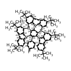 CC(C)(C)c1ccc2c(c1)c1cc(C(C)(C)C)cc3c1n2-c1c2c4c5c(c1-c1ccc(F)cc1)-n1c6ccc(C(C)(C)C)cc6c6cc(C(C)(C)C)cc(c61)B5c1cc(C(C)(C)C)cc5c6cc(C(C)(C)C)cc(c6n-4c15)B23